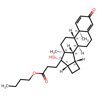 CCCCOC(=O)CC[C@]1(O)[C@H]2CC[C@H]2[C@H]2[C@@H]3CCC4=CC(=O)C=C[C@]4(C)[C@H]3CC[C@@]21C